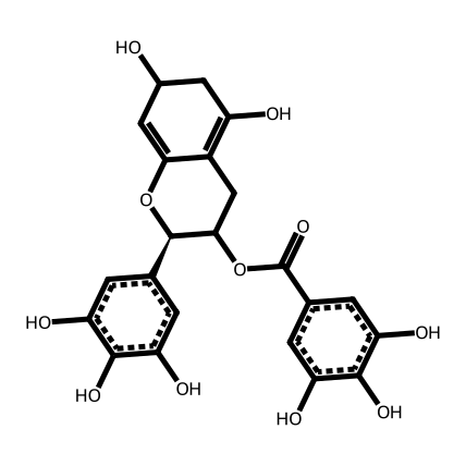 O=C(OC1CC2=C(O)CC(O)C=C2O[C@@H]1c1cc(O)c(O)c(O)c1)c1cc(O)c(O)c(O)c1